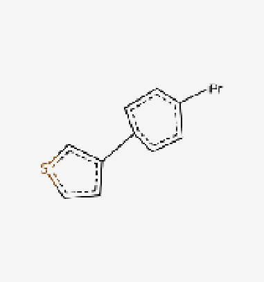 CC(C)c1ccc(-c2ccsc2)cc1